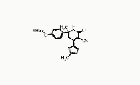 CCCCCCOc1ccc([C@]2(C)CC(c3ccc(C)s3)=C(C#N)C(=O)N2)cc1